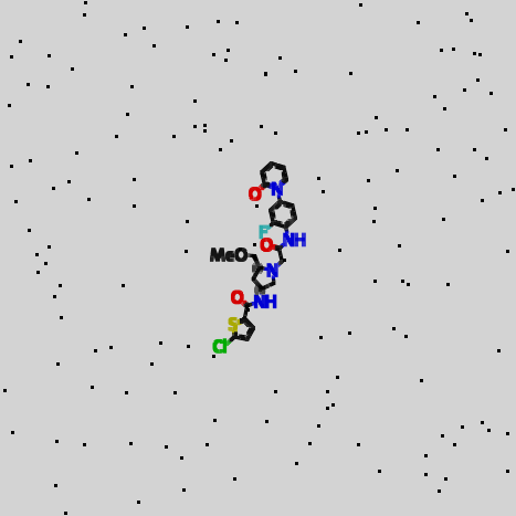 COC[C@@H]1C[C@@H](NC(=O)c2ccc(Cl)s2)CN1CC(=O)Nc1ccc(-n2ccccc2=O)cc1F